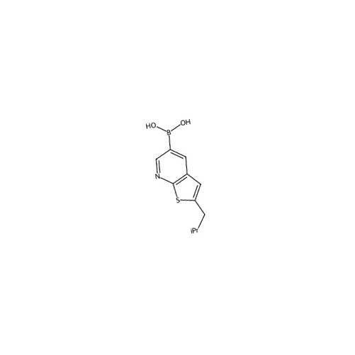 CC(C)Cc1cc2cc(B(O)O)cnc2s1